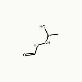 CB(O)NBC=O